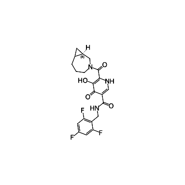 O=C(NCc1c(F)cc(F)cc1F)c1c[nH]c(C(=O)N2CCCC3C[C@H]3C2)c(O)c1=O